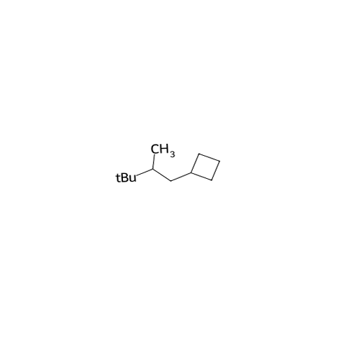 CC(CC1CCC1)C(C)(C)C